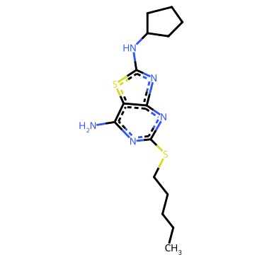 CCCCCSc1nc(N)c2sc(NC3CCCC3)nc2n1